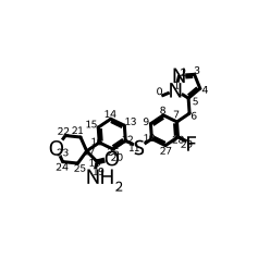 Cn1nccc1Cc1ccc(Sc2cccc(C3(C(N)=O)CCOCC3)c2)cc1F